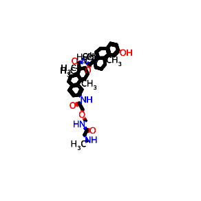 CNCC(=O)NCOCC(=O)Nc1ccc2c(c1)[C@@]1(C)CCC[C@](C)(C(=O)N(C)C(=O)[C@@]3(C)CCC[C@]4(C)c5cc(O)ccc5CC[C@@H]34)[C@]1(C)CC2